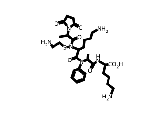 CC(C(=O)N(SCCN)C(CCCCN)C(=O)N(c1ccccc1)C(C)C(=O)NC(CCCCN)C(=O)O)N1C(=O)CCC1=O